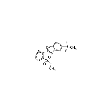 CCS(=O)(=O)c1cccnc1-c1nc2cc(C(C)(F)F)ccc2o1